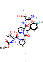 C[C@@H](O)[C@H](NC(=O)[C@@]1(Cc2ccc(F)cc2)CCCN1C(=O)[C@@H]1CCCN1C(=O)[C@@H](NC(=O)OC(C)(C)C)[C@@H](C)O)C(N)=O